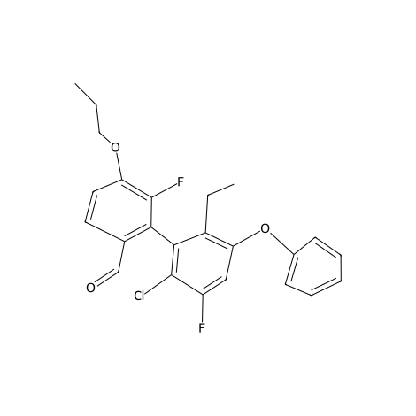 CCCOc1ccc(C=O)c(-c2c(Cl)c(F)cc(Oc3ccccc3)c2CC)c1F